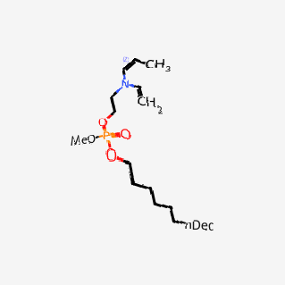 C=CN(/C=C\C)CCOP(=O)(OC)OCCCCCCCCCCCCCCCC